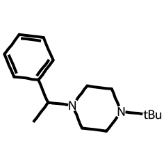 CC(c1ccccc1)N1CCN(C(C)(C)C)CC1